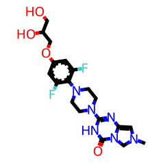 CN1C=C2N=C(N3CCN(c4c(F)cc(OCC(O)CO)cc4F)CC3)NC(=O)N2C1